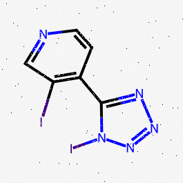 Ic1cnccc1-c1nnnn1I